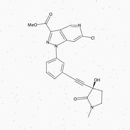 COC(=O)c1nn(-c2cccc(C#C[C@]3(O)CCN(C)C3=O)c2)c2cc(Cl)ncc12